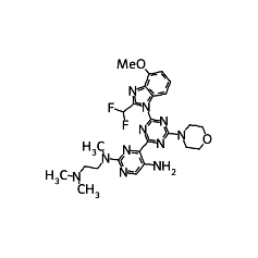 COc1cccc2c1nc(C(F)F)n2-c1nc(-c2nc(N(C)CCN(C)C)ncc2N)nc(N2CCOCC2)n1